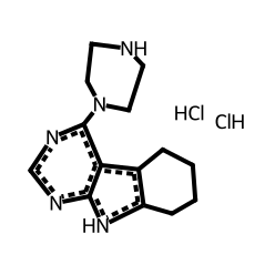 Cl.Cl.c1nc(N2CCNCC2)c2c3c([nH]c2n1)CCCC3